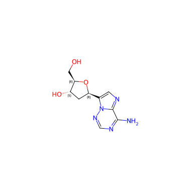 Nc1ncnn2c([C@H]3C[C@H](O)[C@@H](CO)O3)cnc12